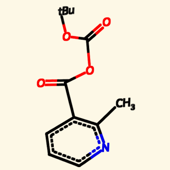 Cc1ncccc1C(=O)OC(=O)OC(C)(C)C